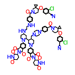 N#Cc1ccc(OC2CCN(C(=O)c3ccc(NCCNC4CCN(c5ccc6c(c5)C(=O)N(C5CCC(=O)NC5=O)C6=O)C(C5CN(c6ccc7c(c6)C(=O)N(C6CCC(=O)NC6=O)C7=O)CCC5CN5CCN(c6ccc(C(=O)N7CCC(Oc8ccc(C#N)c(Cl)c8)C8(CC8)C7)cc6)CC5)C4)cc3)CC23CC3)cc1Cl